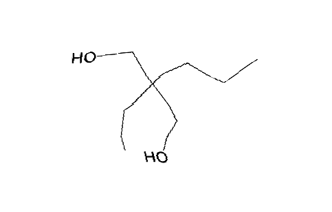 CCCC(CC)(CO)CO